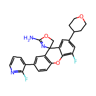 NC1=NC2(CO1)c1cc(-c3cccnc3F)ccc1Oc1c(F)cc(C3CCOCC3)cc12